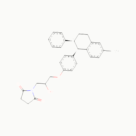 COc1ccc2c(c1)CC[C@H](c1ccccc1)[C@@H]2c1ccc(OCC(O)CN2C(=O)CCC2=O)cc1